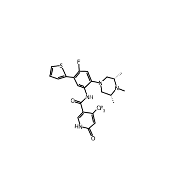 C[C@@H]1CN(c2cc(F)c(-c3cccs3)cc2NC(=O)c2c[nH]c(=O)cc2C(F)(F)F)C[C@H](C)N1C